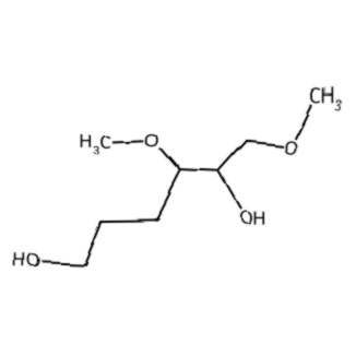 COCC(O)C(CCCO)OC